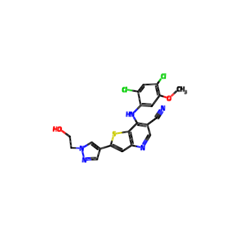 COc1cc(Nc2c(C#N)cnc3cc(-c4cnn(CCO)c4)sc23)c(Cl)cc1Cl